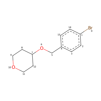 Brc1ccc(COC2CCOCC2)cc1